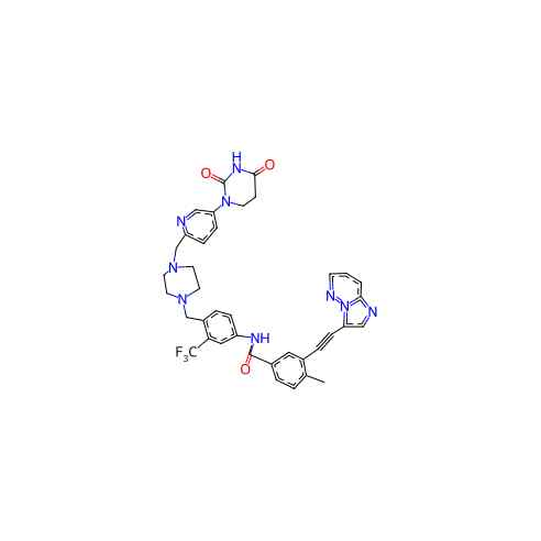 Cc1ccc(C(=O)Nc2ccc(CN3CCN(Cc4ccc(N5CCC(=O)NC5=O)cn4)CC3)c(C(F)(F)F)c2)cc1C#Cc1cnc2cccnn12